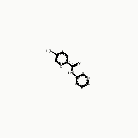 Nc1ccc(C(=O)Nc2cccnc2)nc1